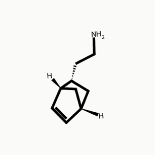 NCC[C@@H]1C[C@@H]2C=C[C@H]1C2